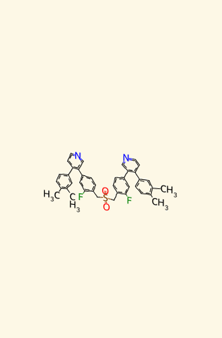 Cc1ccc(-c2ccncc2-c2ccc(CS(=O)(=O)Cc3ccc(-c4cnccc4-c4ccc(C)c(C)c4)cc3F)c(F)c2)cc1C